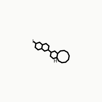 IC1CCC2CC(C3CC[C@@H]4CCCCCCCCC4C3)CCC2C1